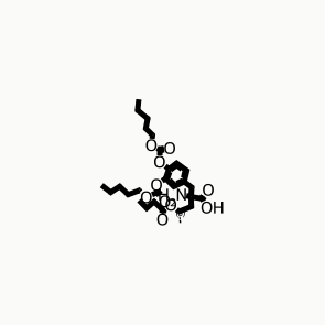 CCCCCOC(=O)Oc1ccc(CC(N)(C[C@H](C)OC(=O)CCC)C(=O)O)cc1OC(=O)OCCCCC